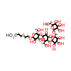 O=C(O)CCSCCO[C@H]1O[C@H](CO)[C@@H](O[C@@H]2O[C@H](CO)[C@@H](O[C@@H]3O[C@H](CO[C@@H]4O[C@H](CO)[C@@H](O)[C@H](O)[C@H]4O)[C@@H](O)[C@H](O)[C@H]3O)[C@H](O)[C@H]2O)[C@H](O)[C@H]1O